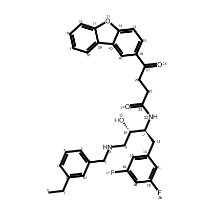 CCc1cccc(CNC[C@H](O)[C@H](Cc2cc(F)cc(F)c2)NC(=O)CCC(=O)c2ccc3oc4ccccc4c3c2)c1